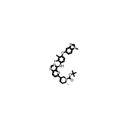 Cc1c(Oc2ccc3c(c2)ncn3C)ccc(Nc2ncnc3ccc(C4=CC[C@@H](C)N(C(=O)OC(C)(C)C)C4)nc23)c1F